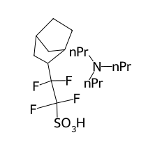 CCCN(CCC)CCC.O=S(=O)(O)C(F)(F)C(F)(F)C1CC2CCC1C2